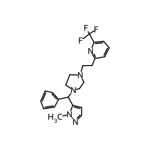 Cn1nccc1C(c1ccccc1)N1CCN(CCc2cccc(C(F)(F)F)n2)CC1